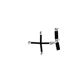 C=[N+]=[N-].FC(F)(F)S